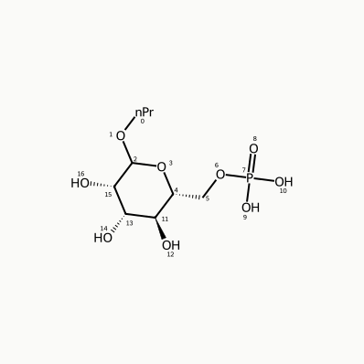 CCCOC1O[C@H](COP(=O)(O)O)[C@@H](O)[C@H](O)[C@@H]1O